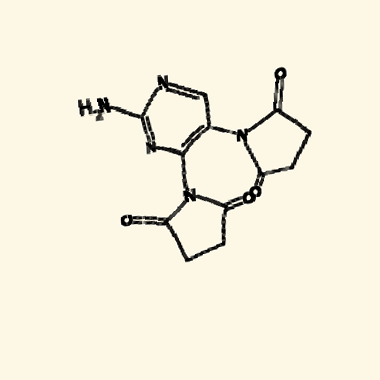 Nc1ncc(N2C(=O)CCC2=O)c(N2C(=O)CCC2=O)n1